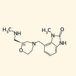 CNC[C@H]1CN(Cc2cccc3[nH]c(=O)n(C)c23)CCO1